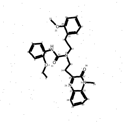 CCOc1ccccc1NC(=O)N(CCc1ccccc1OC)CCc1nc2ccccc2n(C)c1=O